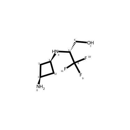 N[C@H]1C[C@@H](N[C@H](CO)C(F)(F)F)C1